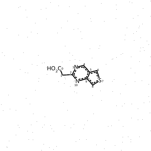 O=C(O)Cc1ncc2cscc2n1